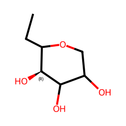 CCC1OCC(O)C(O)[C@H]1O